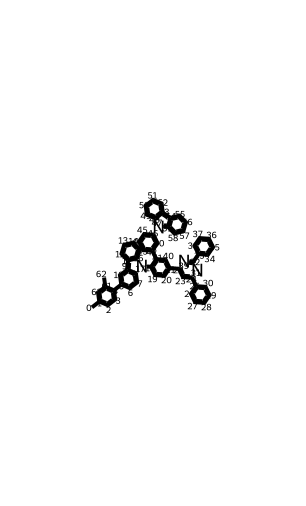 Cc1ccc(-c2ccc3c(c2)c2ccccc2n3-c2ccc(-c3cc(-c4ccccc4)nc(-c4ccccc4)n3)cc2-c2cccc(-n3c4ccccc4c4ccccc43)c2)c(C)c1